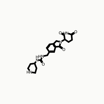 O=C1CCC(N2Cc3ccc(CNC(=O)NC4CCNCC4)cc3C2=O)C(=O)N1